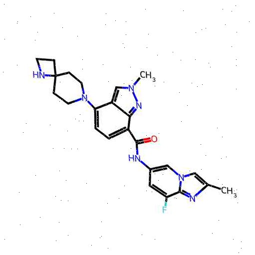 Cc1cn2cc(NC(=O)c3ccc(N4CCC5(CCN5)CC4)c4cn(C)nc34)cc(F)c2n1